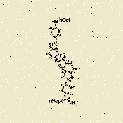 CCCCCCCCNc1ccc(-c2cc3c(ccc4c3sc3c5ccc6sc(-c7ccc(C(N)CCCCCCC)cc7)cc6c5sc43)s2)cc1